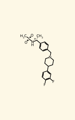 C[C@@H](NS(C)(=O)=O)c1ccc(CN2CCC(c3ccc(F)c(F)c3)CC2)cc1